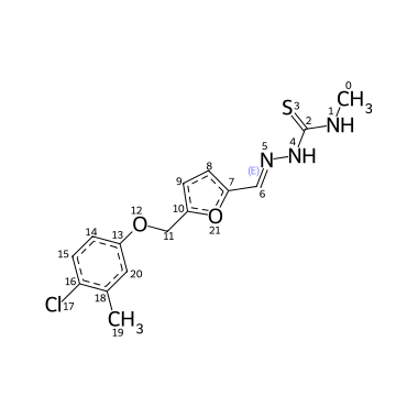 CNC(=S)N/N=C/c1ccc(COc2ccc(Cl)c(C)c2)o1